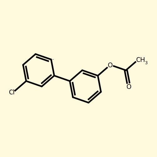 CC(=O)Oc1cccc(-c2[c]ccc(Cl)c2)c1